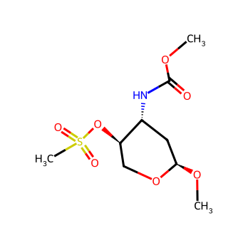 COC(=O)N[C@@H]1C[C@@H](OC)OC[C@H]1OS(C)(=O)=O